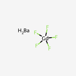 [BaH2].[F][Gd]([F])([F])([F])[F]